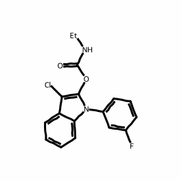 CCNC(=O)Oc1c(Cl)c2ccccc2n1-c1cccc(F)c1